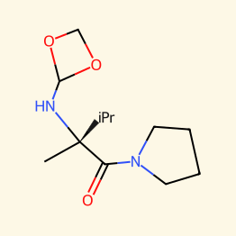 CC(C)[C@@](C)(NC1OCO1)C(=O)N1CCCC1